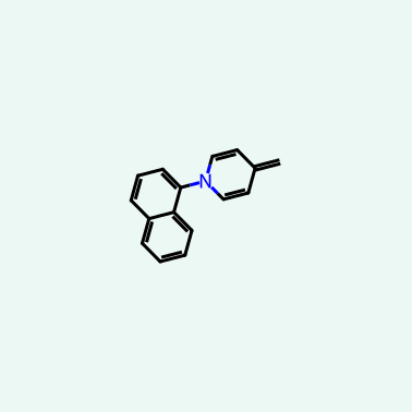 C=C1C=CN(c2cccc3ccccc23)C=C1